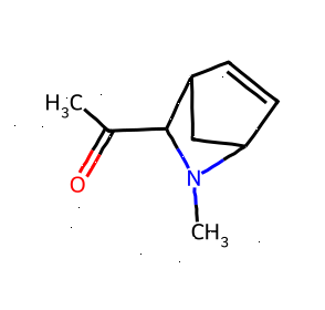 CC(=O)C1C2C=CC(C2)N1C